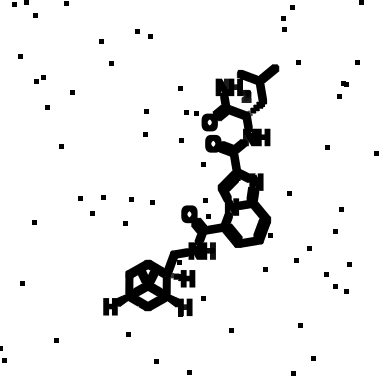 CC(C)C[C@H](NC(=O)c1cn2c(C(=O)NC[C@@H]3CC[C@H]4C[C@@H]3C4(C)C)cccc2n1)C(N)=O